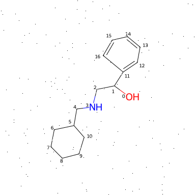 OC(CNCC1CCCCC1)c1ccccc1